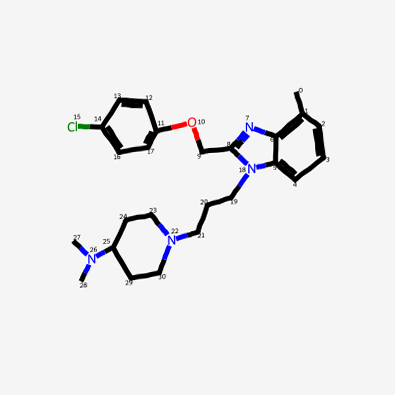 Cc1cccc2c1nc(COc1ccc(Cl)cc1)n2CCCN1CCC(N(C)C)CC1